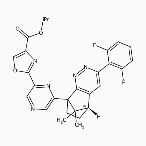 CC(C)OC(=O)c1coc(-c2cncc(C34CC[C@@H](c5cc(-c6c(F)cccc6F)nnc53)C4(C)C)n2)n1